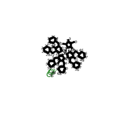 CC1=C(C)C(C)[C]([Ti+3][Si](c2cc(Cc3ccccc3)c(C)c(Cc3ccccc3)c2)(c2cc(Cc3ccccc3)c(C)c(Cc3ccccc3)c2)c2cc(Cc3ccccc3)c(C)c(Cc3ccccc3)c2)=C1C.[Cl-].[Cl-].[Cl-]